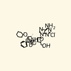 C[C@H](NP(=O)(Oc1ccccc1)O[C@@H]1C[C@H](n2cnc3c(N)nc(Cl)nc32)OC1CO)C(=O)OC1CCCCC1